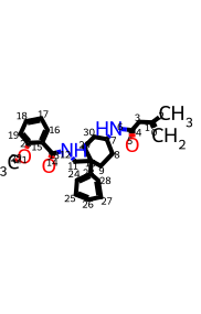 C=C(C)CC(=O)NC1CCC(CNC(=O)c2ccccc2OC)(c2ccccc2)CC1